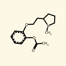 CC(=O)Oc1ccccc1OCCC1CCCN1C